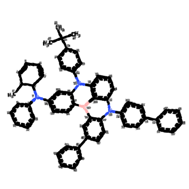 CC1C=CC=CC1N(c1ccccc1)c1ccc2c(c1)N(c1ccc(C(C)(C)C)cc1)c1cccc3c1B2c1cc(-c2ccccc2)ccc1N3c1ccc(-c2ccccc2)cc1